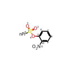 CCCS(=O)(=O)Oc1ccccc1[N+](=O)[O-]